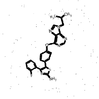 CC(C)Cn1cnc2c(Oc3ccc(-c4sc(N)nc4-c4ccccc4F)cc3)ncnc21